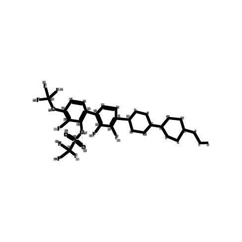 CCCC1CCC(C2CCC(c3ccc(-c4ccc(OC(F)(F)F)c(F)c4OS(=O)(=O)C(F)(F)F)c(F)c3F)CC2)CC1